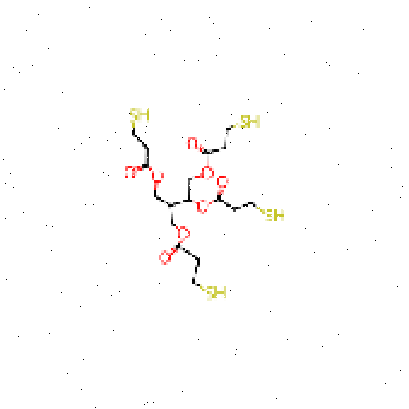 O=C(CCS)OCC(COC(=O)CCS)C(COC(=O)CCS)OC(=O)CCS